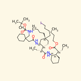 CCCCOC(=O)[C@H](CC)[C@H]1CCCC[C@H]1NC(=O)[C@H](CC)[C@H]1CC[C@@](CCCC)(CCCCI)C[C@H]1NC(=O)CC1(CNC(=O)OC(C)(C)C)CCCCC1